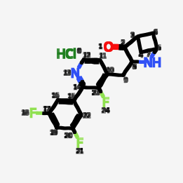 Cl.O=C1C2CC(C2)NC1Cc1ccnc(-c2cc(F)cc(F)c2)c1F